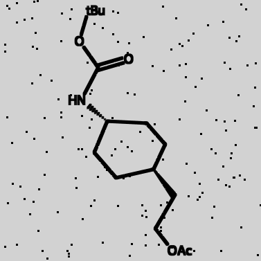 CC(=O)OCC[C@H]1CC[C@H](NC(=O)OC(C)(C)C)CC1